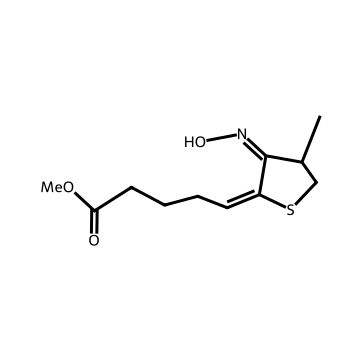 COC(=O)CCC/C=C1/SCC(C)/C1=N/O